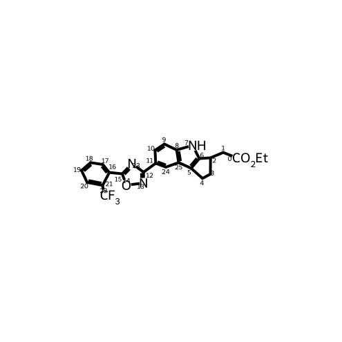 CCOC(=O)CC1CCc2c1[nH]c1ccc(-c3noc(-c4ccccc4C(F)(F)F)n3)cc21